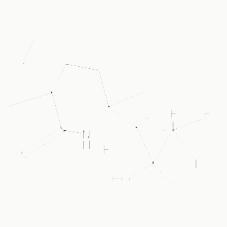 CCC1(C)CCC(C)(C(F)(F)C(C)(O)C(F)(F)F)NC1=O